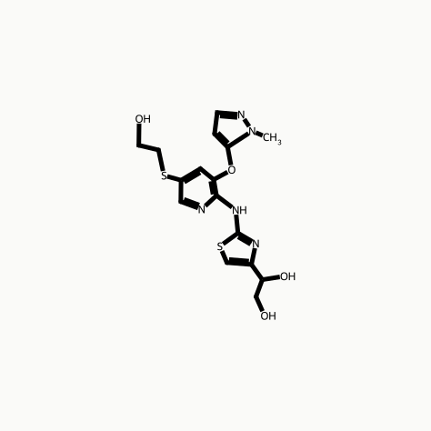 Cn1nccc1Oc1cc(SCCO)cnc1Nc1nc(C(O)CO)cs1